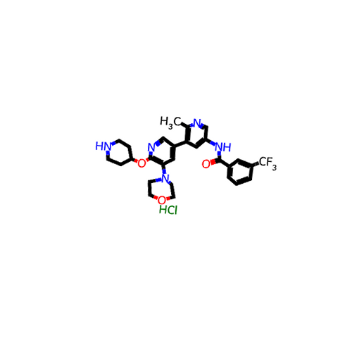 Cc1ncc(NC(=O)c2cccc(C(F)(F)F)c2)cc1-c1cnc(OC2CCNCC2)c(N2CCOCC2)c1.Cl